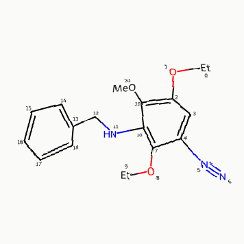 CCOc1cc([N+]#N)c(OCC)c(NCc2ccccc2)c1OC